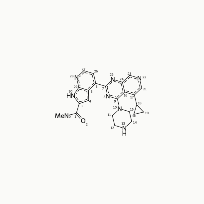 CNC(=O)c1cc2c(-c3nc(N4CCNCC4)c4c(C5CC5)cncc4n3)ccnc2[nH]1